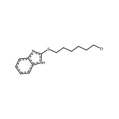 [O]CCCCCCSc1nc2ccccc2[nH]1